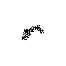 O=C(CCNc1n[n+]([O-])c2cc(OC(F)(F)F)ccc2[n+]1[O-])OC1CCN(C(=O)OCc2ccccc2)CC1